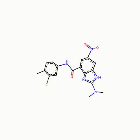 Cc1ccc(NC(=O)c2cc([N+](=O)[O-])cc3[nH]c(N(C)C)nc23)cc1Cl